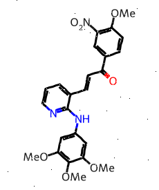 COc1ccc(C(=O)/C=C/c2cccnc2Nc2cc(OC)c(OC)c(OC)c2)cc1[N+](=O)[O-]